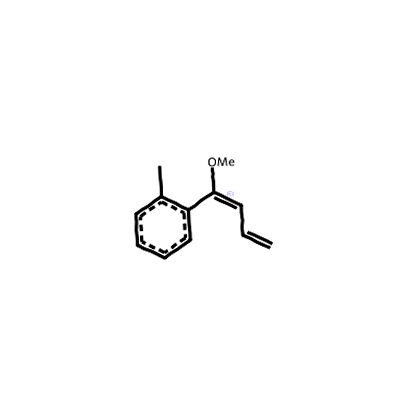 C=C/C=C(/OC)c1ccccc1C